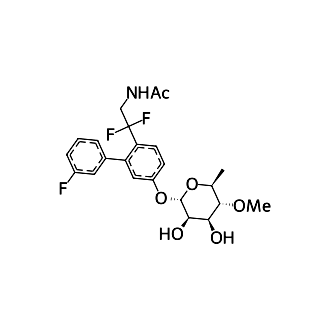 CO[C@@H]1[C@@H](O)[C@@H](O)[C@H](Oc2ccc(C(F)(F)CNC(C)=O)c(-c3cccc(F)c3)c2)O[C@H]1C